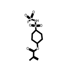 C=C(C)C(=O)OC1CCC(S(=O)(=O)NS(=O)(=O)F)CC1